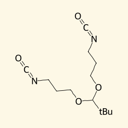 CC(C)(C)C(OCCCN=C=O)OCCCN=C=O